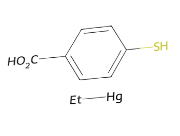 C[CH2][Hg].O=C(O)c1ccc(S)cc1